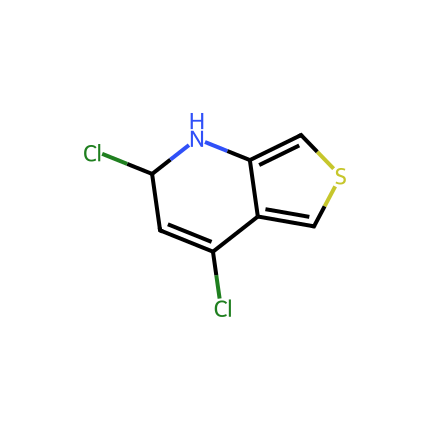 ClC1=CC(Cl)Nc2cscc21